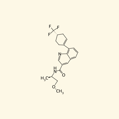 COC[C@@H](C)NC(=O)c1cnc2c(C3=CC[C@@H](C(F)(F)F)CC3)cccc2c1